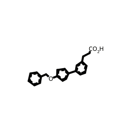 O=C(O)CCc1cccc(-c2ccc(OCc3ccccc3)cc2)c1